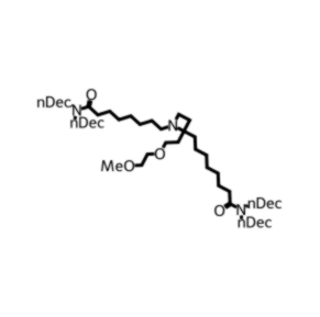 CCCCCCCCCCN(CCCCCCCCCC)C(=O)CCCCCCCN1CCC1(CCCCCCCC(=O)N(CCCCCCCCCC)CCCCCCCCCC)CCOCCOC